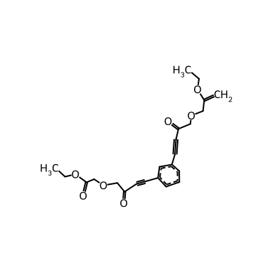 C=C(COCC(=O)C#Cc1cccc(C#CC(=O)COCC(=O)OCC)c1)OCC